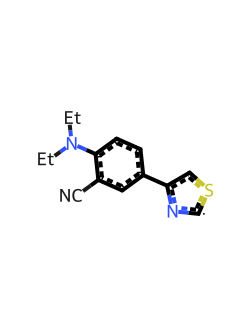 CCN(CC)c1ccc(-c2cs[c]n2)cc1C#N